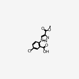 COC(=O)c1cn(-c2ccc(Cl)cc2C(=O)O)nn1